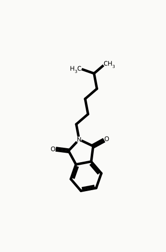 C[C](C)CCCCN1C(=O)c2ccccc2C1=O